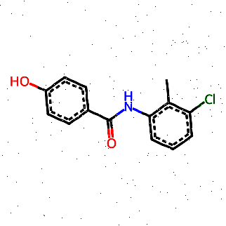 Cc1c(Cl)cccc1NC(=O)c1ccc(O)cc1